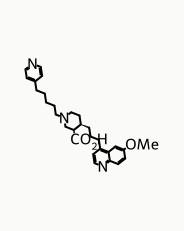 COc1ccc2nccc(CCC[C@@H]3CCN(CCCCCc4ccncc4)C[C@@H]3C(=O)O)c2c1